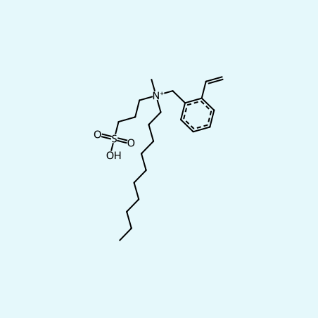 C=Cc1ccccc1C[N+](C)(CCCCCCCCCC)CCCS(=O)(=O)O